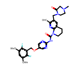 COc1cc(OC)c(F)c(COc2cnc(NC(=O)N3CCCc4cc(CN5CCN(C)CC5=O)c(C=O)nc43)nc2)c1F